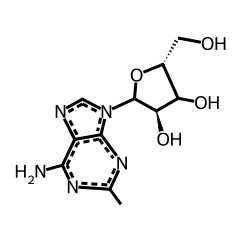 Cc1nc(N)c2ncn(C3O[C@H](CO)C(O)[C@H]3O)c2n1